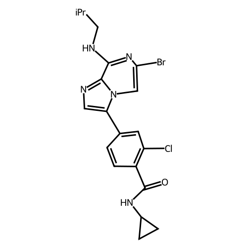 CC(C)CNc1nc(Br)cn2c(-c3ccc(C(=O)NC4CC4)c(Cl)c3)cnc12